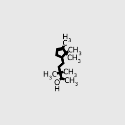 CC1=CCC(CCC(C)(C)C(C)O)C1(C)C